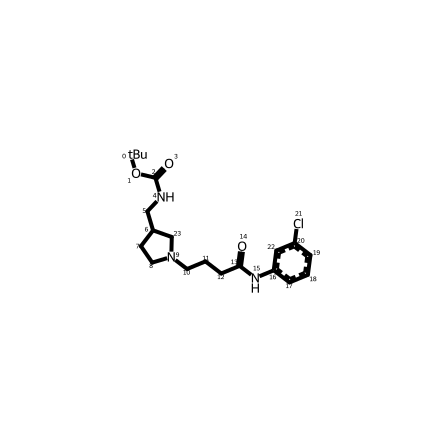 CC(C)(C)OC(=O)NCC1CCN(CCCC(=O)Nc2cccc(Cl)c2)C1